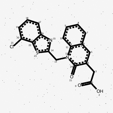 O=C(O)Cc1cc2ccccc2n(Cc2nc3cccc(Cl)c3s2)c1=O